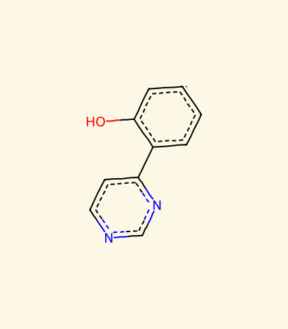 Oc1c[c]ccc1-c1ccncn1